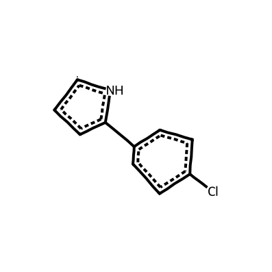 Clc1ccc(-c2cc[c][nH]2)cc1